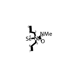 C=CC[N+]([Se-])(CC=C)C(=O)NC